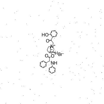 O=C(C[N+]12CCC(CC1)[C@@H](OC(=O)[C@H](Nc1ccccc1)c1ccccc1)C2)c1ccccc1O.[Br-]